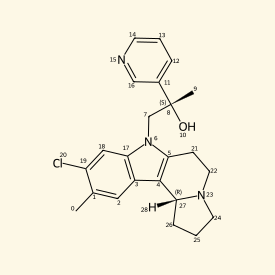 Cc1cc2c3c(n(C[C@@](C)(O)c4cccnc4)c2cc1Cl)CCN1CCC[C@H]31